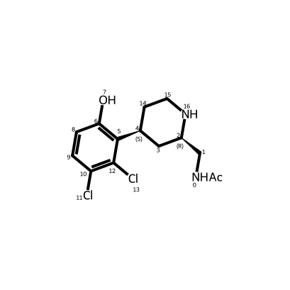 CC(=O)NC[C@H]1C[C@@H](c2c(O)ccc(Cl)c2Cl)CCN1